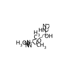 Cc1cc(-c2nnn(C)n2)cc(C)c1OCCCC(O)c1cc2cccnc2[nH]1